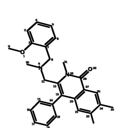 COc1ccccc1CN(C)Cc1c(-c2ccccc2)c2cc(C)c(C)cc2c(=O)n1C